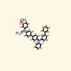 COc1cccc(N(C)c2ccc(-c3ccc(N(c4ccccc4)c4cccc(-c5ccccc5)c4)cc3)cc2)c1